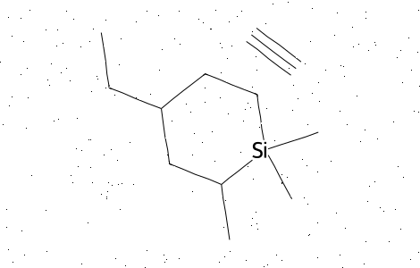 C#C.CCC1CC[Si](C)(C)C(C)C1